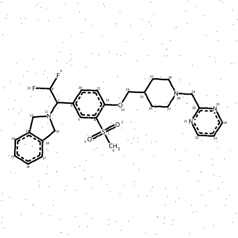 CS(=O)(=O)c1cc(C(C(F)F)N2Cc3ccccc3C2)ccc1OCC1CCN(Cc2ncccn2)CC1